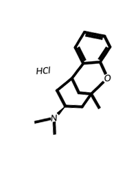 CN(C)[C@H]1CC2CC(C)(C1)Oc1ccccc12.Cl